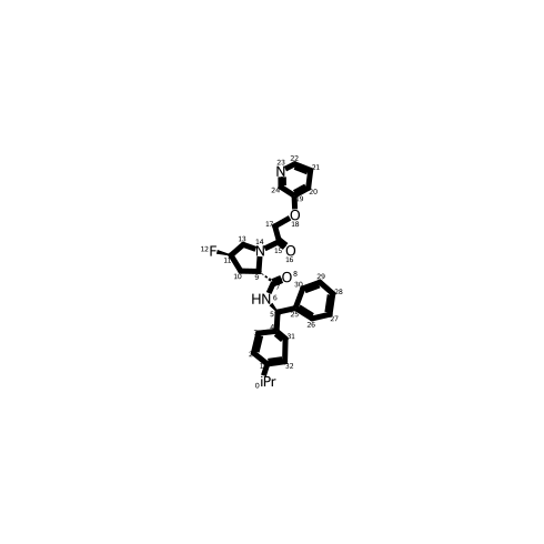 CC(C)c1ccc([C@@H](NC(=O)[C@@H]2C[C@@H](F)CN2C(=O)COc2cccnc2)c2ccccc2)cc1